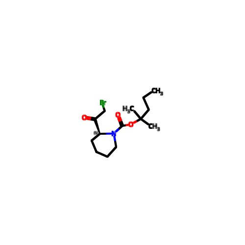 CCCC(C)(C)OC(=O)N1CCCC[C@H]1C(=O)CBr